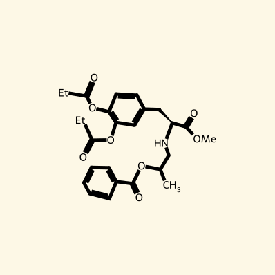 CCC(=O)Oc1ccc(C[C@H](NCC(C)OC(=O)c2ccccc2)C(=O)OC)cc1OC(=O)CC